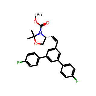 CC(C)(C)OC(=O)N1[C@H](/C=C\c2cc(-c3ccc(F)cc3)cc(-c3ccc(F)cc3)c2)COC1(C)C